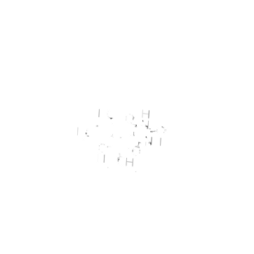 C=CCC(CC=C)(CC(C)CCC)C1C(=O)NC(=O)NC1=O